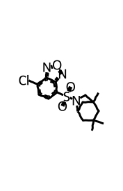 CC1(C)CC2CC(C)(CN2S(=O)(=O)c2ccc(Cl)c3nonc23)C1